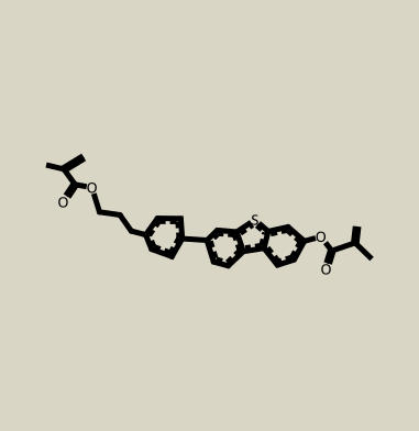 C=C(C)C(=O)OCCCc1ccc(-c2ccc3c(c2)sc2cc(OC(=O)C(=C)C)ccc23)cc1